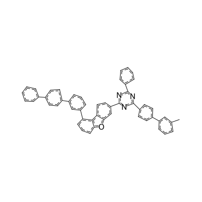 Cc1cccc(-c2ccc(-c3nc(-c4ccccc4)nc(-c4ccc5c(c4)oc4cccc(-c6cccc(-c7ccc(-c8ccccc8)cc7)c6)c45)n3)cc2)c1